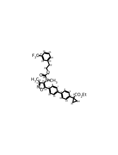 CCOC(=O)C1(c2ccc(-c3ccc(-c4onc(C)c4N(C)C(=O)OCCc4cccc(C(F)(F)F)c4)cc3)cc2)CC1